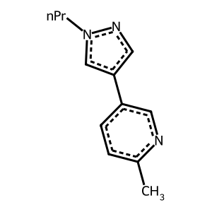 CCCn1cc(-c2ccc(C)nc2)cn1